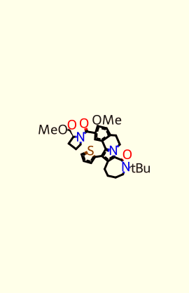 COC(=O)[C@@H]1CCCN1C(=O)c1cc2c(cc1OC)CCn1c3c(c(-c4cccs4)c1-2)CCCCN(C(C)(C)C)C3=O